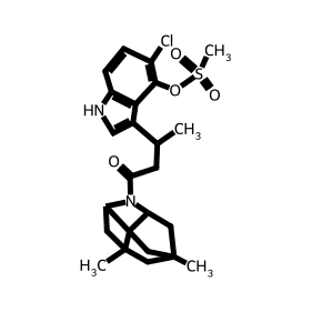 CC(CC(=O)N1C2CC3(C)CC1CC(C)(C2)C3)c1c[nH]c2ccc(Cl)c(OS(C)(=O)=O)c12